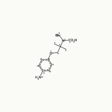 CC(C)(C)N(C(=O)O)C(C)(C)COc1ccc(N)cc1